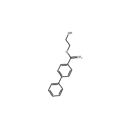 C=C(OCCO)c1ccc(-c2ccccc2)cc1